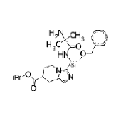 CC(C)OC(=O)C1CCn2c(cnc2[C@@H](COCc2ccccc2)NC(=O)C(C)(C)N)C1